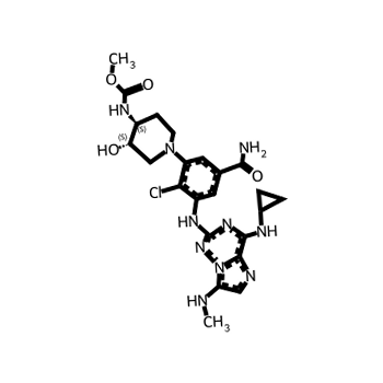 CNc1cnc2c(NC3CC3)nc(Nc3cc(C(N)=O)cc(N4CC[C@H](NC(=O)OC)[C@@H](O)C4)c3Cl)nn12